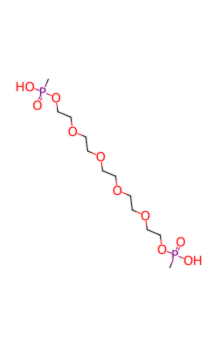 CP(=O)(O)OCCOCCOCCOCCOCCOP(C)(=O)O